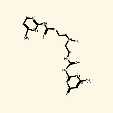 CC1=CCN=C(NC(=O)NCCN(C)CCNC(=O)Nc2nc(=O)cc(C)[nH]2)N1